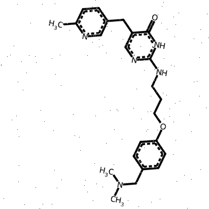 Cc1ccc(Cc2cnc(NCCCOc3ccc(CN(C)C)cc3)[nH]c2=O)cn1